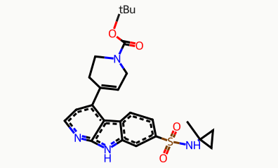 CC1(NS(=O)(=O)c2ccc3c(c2)[nH]c2nccc(C4=CCN(C(=O)OC(C)(C)C)CC4)c23)CC1